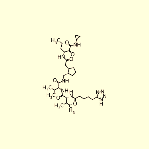 CCCC(NC(=O)C[C@H]1CCC[C@H]1CNC(=O)[C@@H](NC(=O)[C@H](NC(=O)CCCCc1nnn[nH]1)C(C)C)C(C)C)C(=O)C(=O)NC1CC1